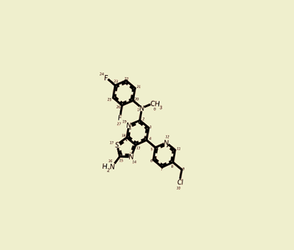 CN(c1cc(-c2ccc(CCl)cn2)c2nc(N)sc2n1)c1ccc(F)cc1F